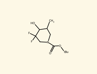 CC1CN(C(=O)OC(C)(C)C)CC(F)(F)C1O